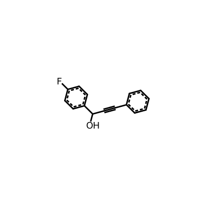 OC(C#Cc1ccccc1)c1ccc(F)cc1